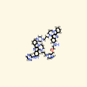 CN1CCN(CCCN2CCCN3c4c(nc5c(c42)CCC(NCCOCC2CN(CCCN4CCCN6c7c(nc8c(c74)CCC(Nc4cnccn4)C8)C4CCCCC46)CCN2C)C5)C2CCCCC23)CC1